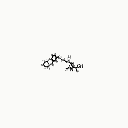 CC(O)c1nc(NCCCOc2cccc(CN3CCCCC3)c2)n(C)n1